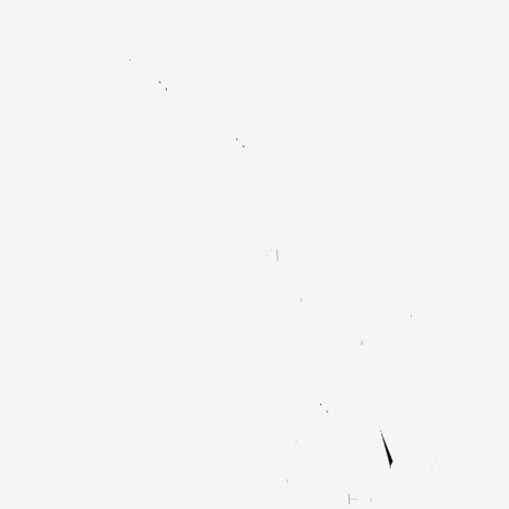 CC(C)(C)N1CCN(c2ccc(CS(=O)(=O)[C@@H]3C[C@@H](C(=O)O)N(C(=O)C4(c5ccc(Cl)cc5)CC4)C3)cc2)CC1